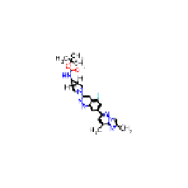 Cc1cn2nc(-c3cc(F)c4cc(N5C[C@@H]6C(NC(=O)OC(C)(C)C)[C@@H]6C5)nnc4c3)cc(C)c2n1